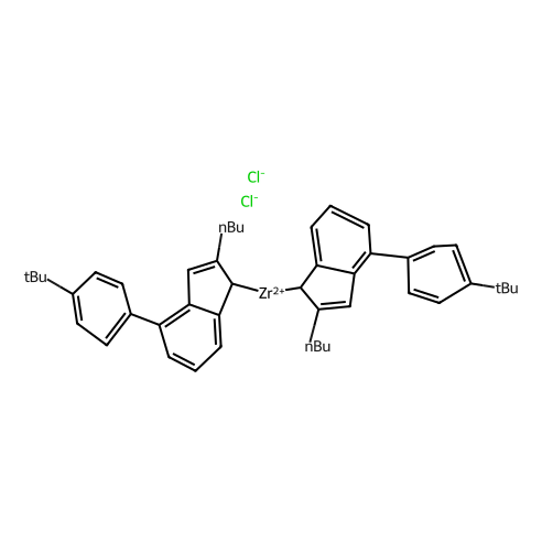 CCCCC1=Cc2c(-c3ccc(C(C)(C)C)cc3)cccc2[CH]1[Zr+2][CH]1C(CCCC)=Cc2c(-c3ccc(C(C)(C)C)cc3)cccc21.[Cl-].[Cl-]